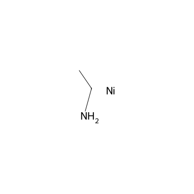 CCN.[Ni]